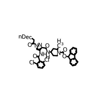 CCCCCCCCCCCC(=O)n1cc(NC(=O)c2c(Cl)cccc2Cl)c(C(=O)NC2CCN(C(=O)OC3c4ccccc4-c4ccccc43)C(C)C2)n1